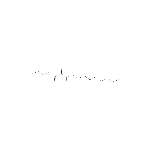 CCCCCCCCCC(O)C(O)C(=O)OCCC